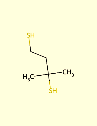 CC(C)(S)CCS